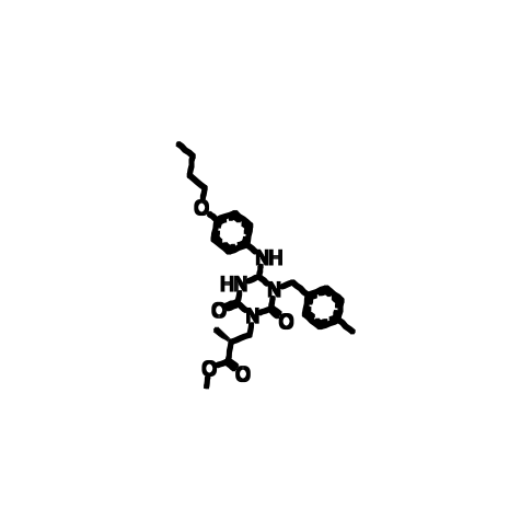 CCCCOc1ccc(NC2NC(=O)N(C[C@H](C)C(=O)OC)C(=O)N2Cc2ccc(C)cc2)cc1